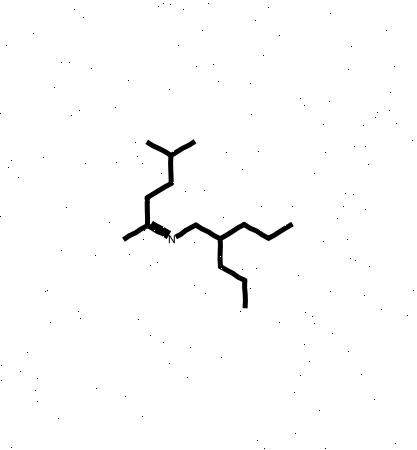 CCCC(CCC)C/N=C(/C)CCC(C)C